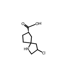 O=C(O)[C@@H]1CCC2(CC(Cl)CN2)C1